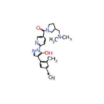 C#Cc1ccc(-c2cnn(-c3ccc(C(=O)N4CCC(CN(C)C)C4)cn3)c2O)c(C)c1